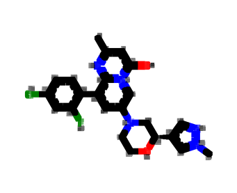 Cc1cc(=O)n2cc(N3CCO[C@@H](c4cnn(C)c4)C3)cc(-c3ccc(Cl)cc3F)c2n1